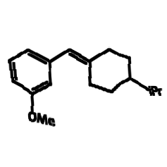 COc1cccc(C=C2CCC(C(C)C)CC2)c1